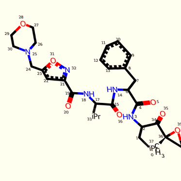 CC(C)CC(NC(=O)C(Cc1ccccc1)NC(=O)C(NC(=O)c1cc(CN2CCOCC2)on1)C(C)C)C(=O)[C@@]1(C)CO1